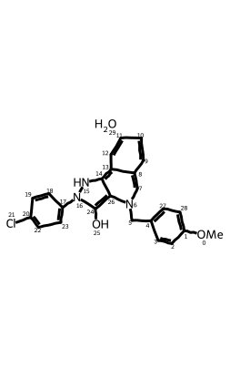 COc1ccc(CN2C=c3ccccc3=C3NN(c4ccc(Cl)cc4)C(O)=C32)cc1.O